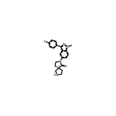 O=C1N(c2ccc3c(c2)c(-c2ccc(F)cc2)nn3I)CC[C@]12CCNC2